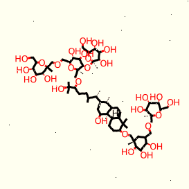 CC(CCC(OC[C@@]1(C)OC(COCC2(C)OC(CO)[C@H](O)C(O)[C@H]2O)[C@H](O)C(O)[C@H]1O[C@@]1(C)OC(CO)[C@H](O)C(O)[C@H]1O)C(C)(C)O)[C@H](C)C1CC(O)[C@@]2(C)C(CC=C3[C@@H]2CCC(OC[C@]2(C)CC(COC[C@]4(C)OC(CO)[C@@H](O)[C@@H](O)C4O)[C@@H](O)[C@@H](O)C2O)C3(C)C)[C@H]1C